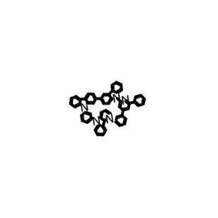 c1ccc(-c2cc(-c3ccccc3)nc(-n3c4ccccc4c4cc(-c5ccc6c7ccccc7n(-c7cccc(-n8c9ccccc9c9ncccc98)c7)c6c5)ccc43)c2)cc1